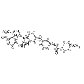 CC(C)c1cc(Nc2nc3cc(Oc4ccnc(NC(=O)C5CCN(C)CC5)c4)ccc3n2C)ccc1Cl